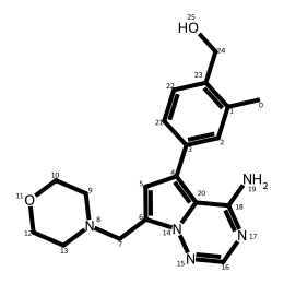 Cc1cc(-c2cc(CN3CCOCC3)n3ncnc(N)c23)ccc1CO